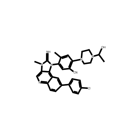 Cc1cc(N2CCN(C(C)O)CC2)c(C#N)cc1-n1c(=N)n(C)c2cnc3ccc(-c4ccc(Cl)cc4)cc3c21